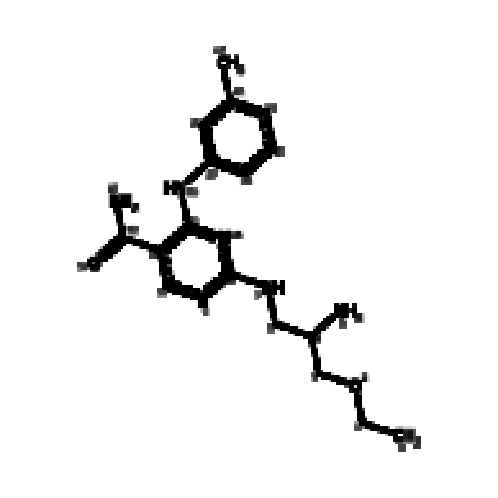 CCOCC(N)CNc1ncc(C(N)=O)c(Nc2cccc(C)c2)n1